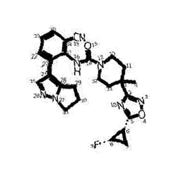 CC1(c2noc([C@@H]3C[C@@H]3F)n2)CCN(C(=O)Nc2c(C#N)cccc2-c2cnn3c2CCC3)CC1